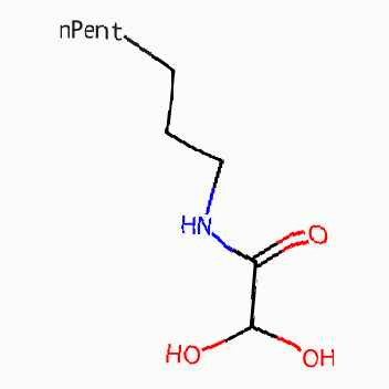 CCCCCCCCNC(=O)C(O)O